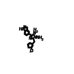 COc1cccc(CC2=NN(c3ccc4[nH]ncc4c3)C(N)N2N)c1